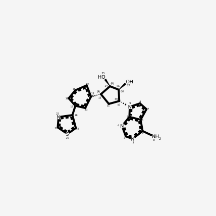 Nc1ncnc2c1ccn2[C@@H]1C[C@H](c2cccc(-c3cscn3)c2)[C@@H](O)[C@H]1O